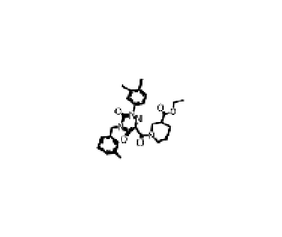 CCOC(=O)C1CCCN(C(=O)c2nn(-c3ccc(C)c(C)c3)c(=O)n(Cc3cccc(C)c3)c2=O)C1